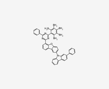 Bc1c(B)c(B)c(-c2nc(-c3ccccc3)nc(-c3cccc4c3oc3ccc(-n5c6ccccc6c6ccc(-c7ccccc7)cc65)cc34)n2)c(B)c1B